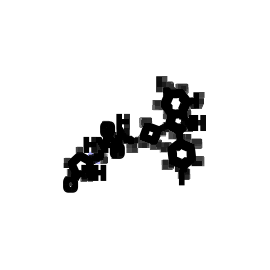 O=C1CC/C(=C\NS(=O)(=O)NC[C@H]2C[C@H](c3c(-c4ccc(F)cc4)[nH]c4c(F)cc(F)cc43)C2)N1